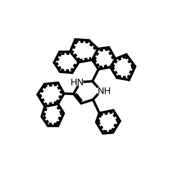 C1=C(c2cccc3ccccc23)NC(c2c3ccccc3cc3ccc4ccccc4c23)NC1c1ccccc1